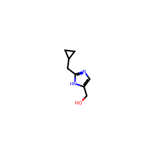 OCc1cnc(CC2CC2)[nH]1